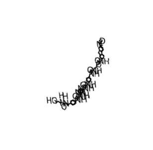 O=C=Nc1ccc2c(c1)Cc1cc(NC(=O)OCCCNC(=O)NCc3ccc(NC(=O)Nc4ncnc(NC(=O)Nc5ccc(CNC(=O)NCCCO)cc5)n4)cc3)ccc1-2